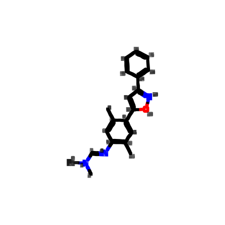 CCN(C)C=Nc1cc(C)c(-c2cc(-c3ccccc3)no2)cc1C